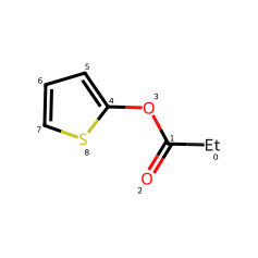 CCC(=O)Oc1cccs1